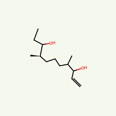 C=CC(O)C(C)CCC[C@@H](C)C(O)CC